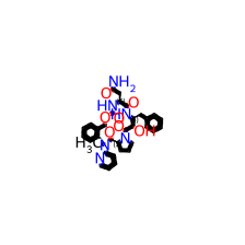 CN(C(=O)[C@@H]1CCCN1C(=O)C(O)[C@H](Cc1ccccc1)NC(=O)[C@H](CC(N)=O)NC(=O)OCc1ccccc1)c1ccccn1